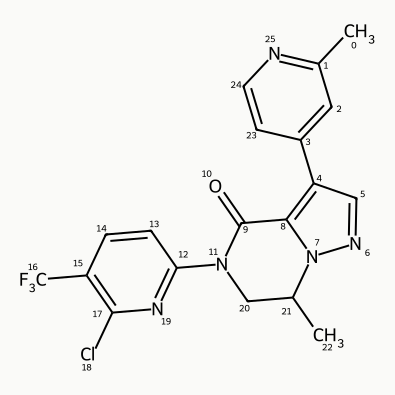 Cc1cc(-c2cnn3c2C(=O)N(c2ccc(C(F)(F)F)c(Cl)n2)CC3C)ccn1